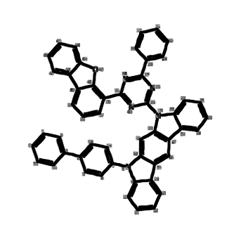 c1ccc(-c2ccc(-n3c4ccccc4c4cc5c6ccccc6n(-c6nc(-c7ccccc7)nc(-c7cccc8c7oc7ccccc78)n6)c5cc43)cc2)cc1